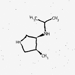 CC(C)N[C@@H]1CNC[C@@H]1C